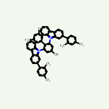 N#Cc1cc(-c2c(-n3c4ccccc4c4ccc(-c5ccc(C(F)(F)F)cc5C(F)(F)F)cc43)cc(C#N)cc2-n2c3ccccc3c3ccc(-c4ccc(C(F)(F)F)cc4C(F)(F)F)cc32)cc(C(F)(F)F)c1